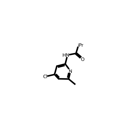 Cc1cc(Cl)cc(NC(=O)C(C)C)n1